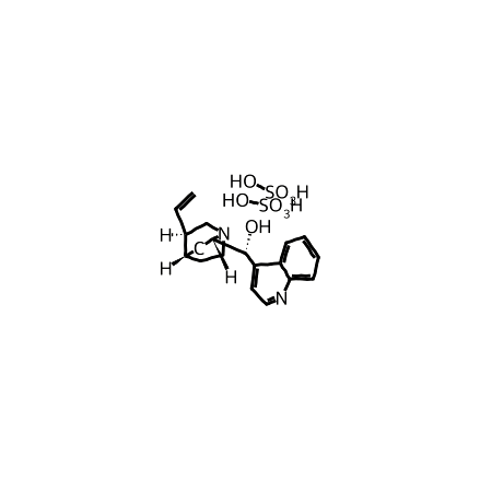 C=C[C@H]1CN2CC[C@H]1C[C@H]2[C@H](O)c1ccnc2ccccc12.O=S(=O)(O)O.O=S(=O)(O)O